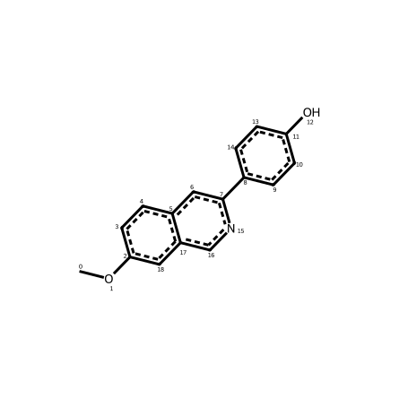 COc1ccc2cc(-c3ccc(O)cc3)ncc2c1